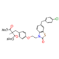 COC(=O)C(C)(Cc1ccc(OCCn2c(=O)sc3cc(Cc4ccc(Cl)cc4)ccc32)cc1)C(=O)OC